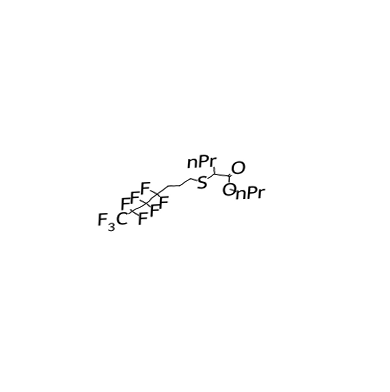 CCCOC(=O)C(CCC)SCCCC(F)(F)C(F)(F)C(F)(F)C(F)(F)F